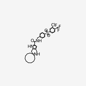 O=C(NCc1ccc(S(=O)(=O)c2ccc(C(F)(F)F)c(Cl)c2)cc1)c1cc2c([nH]1)CC1(CCCCCCCCCC1)NC2